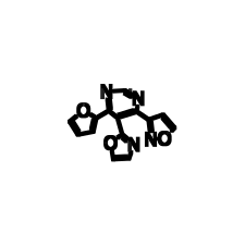 [c]1nc(-c2ccon2)c(-c2ncco2)c(-c2ccco2)n1